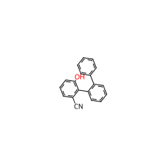 N#Cc1cccc(O)c1-c1ccccc1-c1ccccc1